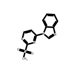 CS(=O)(=O)c1nccc(-n2cnc3ccccc32)n1